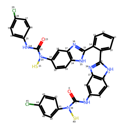 O=C(Nc1ccc2[nH]c(-c3ccccc3-c3nc4cc(N(S)C(=O)Nc5ccc(Cl)cc5)ccc4[nH]3)nc2c1)N(S)c1ccc(Cl)cc1